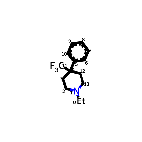 CCN1CCC(c2ccccc2)(C(F)(F)F)CC1